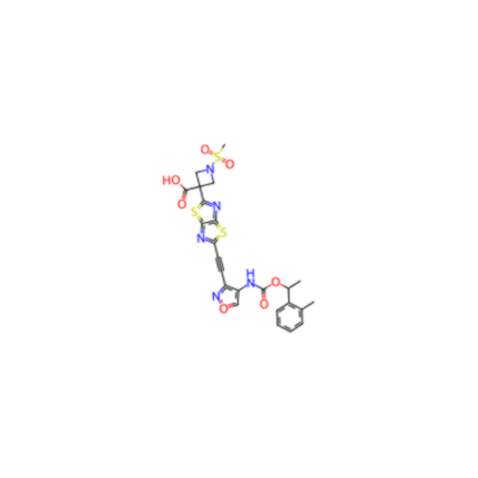 Cc1ccccc1C(C)OC(=O)Nc1conc1C#Cc1nc2sc(C3(C(=O)O)CN(S(C)(=O)=O)C3)nc2s1